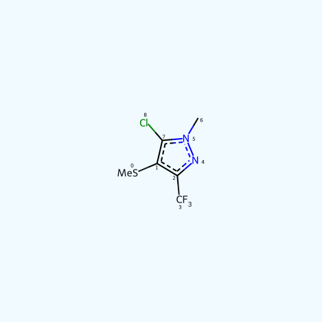 CSc1c(C(F)(F)F)nn(C)c1Cl